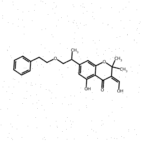 CC(COCCc1ccccc1)c1cc(O)c2c(c1)OC(C)(C)C(=CO)C2=O